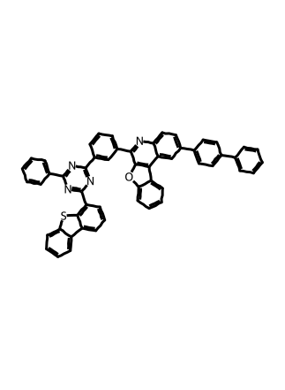 c1ccc(-c2ccc(-c3ccc4nc(-c5cccc(-c6nc(-c7ccccc7)nc(-c7cccc8c7sc7ccccc78)n6)c5)c5oc6ccccc6c5c4c3)cc2)cc1